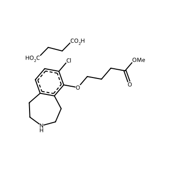 COC(=O)CCCOc1c(Cl)ccc2c1CCNCC2.O=C(O)CCC(=O)O